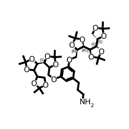 CC1(C)OCC(C2OC(C)(C)OC2[C@H]2OC(C)(C)OC2COc2cc(CCCN)cc(OC[C@H]3OC(C)(C)O[C@H]3[C@@H]3OC(C)(C)O[C@H]3[C@@H]3COC(C)(C)O3)c2)O1